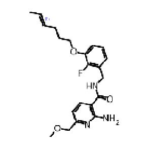 C/C=C/CCCOc1cccc(CNC(=O)c2ccc(COC)nc2N)c1F